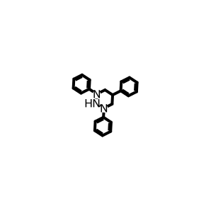 c1ccc(C2CN(c3ccccc3)NN(c3ccccc3)C2)cc1